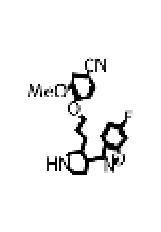 COc1cc(C#N)ccc1OCCCC1CNCCC1c1noc2cc(F)ccc12